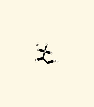 C=CC(=O)S(=O)(=O)[O-].[Li+]